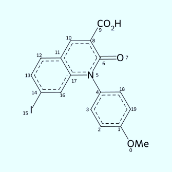 COc1ccc(-n2c(=O)c(C(=O)O)cc3ccc(I)cc32)cc1